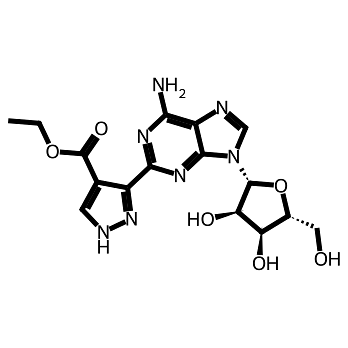 CCOC(=O)c1c[nH]nc1-c1nc(N)c2ncn([C@@H]3O[C@H](CO)[C@@H](O)[C@H]3O)c2n1